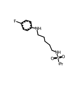 CC(C)S(=O)(=O)NCCCCCNc1ccc(F)cc1